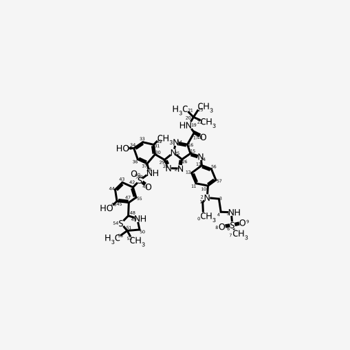 CCN(CCNS(C)(=O)=O)c1ccc(/N=C2/C(C(=O)NC(C)(C)C)=Nn3c2nnc3-c2c(C)cc(O)cc2NS(=O)(=O)c2ccc(O)c(C3NCC(C)(C)S3)c2)cc1